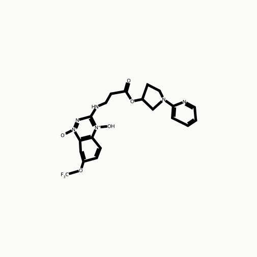 O=C(CCNc1n[n+]([O-])c2cc(OC(F)(F)F)ccc2[n+]1O)OC1CCN(c2ccccn2)C1